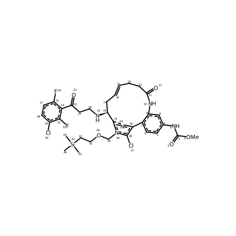 COC(=O)Nc1ccc2c(c1)NC(=O)CC/C=C/C[C@H](NCCC(=O)c1c(F)ccc(Cl)c1F)c1nc-2c(Cl)n1COCC[Si](C)(C)C